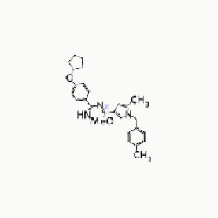 CO/C(=N\C(=N)c1ccc(OC2CCCC2)cc1)c1cc(C)n(Cc2ccc(C)cc2)c1